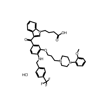 COc1ccccc1N1CCN(CCCOc2cc(C(=O)c3cn(CCCC(=O)O)c4ccccc34)ccc2NCc2ccc(C(F)(F)F)cc2)CC1.Cl